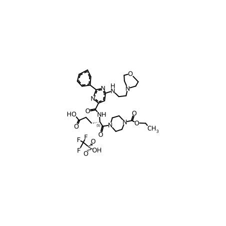 CCOC(=O)N1CCN(C(=O)[C@H](CCC(=O)O)NC(=O)c2cc(NCCN3CCOCC3)nc(-c3ccccc3)n2)CC1.O=S(=O)(O)C(F)(F)F